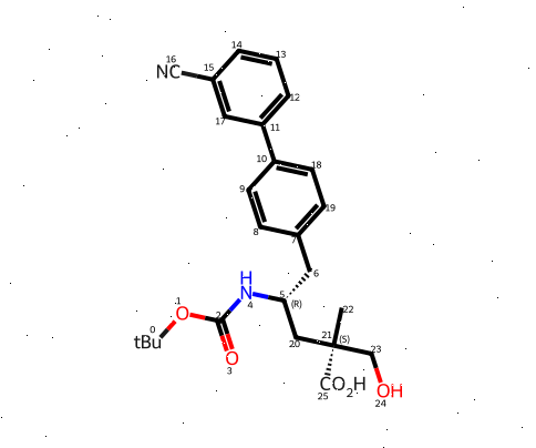 CC(C)(C)OC(=O)N[C@H](Cc1ccc(-c2cccc(C#N)c2)cc1)C[C@@](C)(CO)C(=O)O